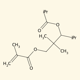 C=C(C)C(=O)OCC(C)(C)C(OC(=O)C(C)C)C(C)C